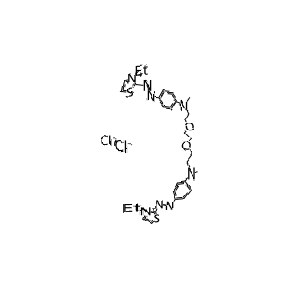 CC[n+]1ccsc1N=Nc1ccc(N(C)CCOCCOCCN(C)c2ccc(N=Nc3scc[n+]3CC)cc2)cc1.[Cl-].[Cl-]